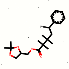 CC(C)C(CC(C)(C)C(C)(C)C(=O)OCC1COC(C)(C)O1)c1ccccc1